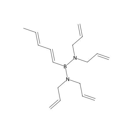 C=CCN(CC=C)B(C=CC=CC)N(CC=C)CC=C